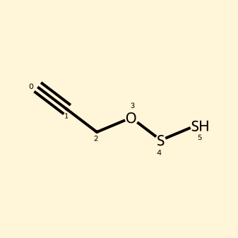 C#CCOSS